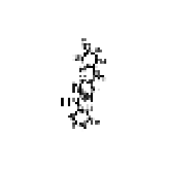 Cc1cccc(Nc2ncc(N(C)c3ccc(F)cc3)cn2)c1